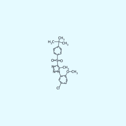 COc1ccc(Cl)cc1-n1nnc(S(=O)(=O)c2ccc(C(C)(C)C)cc2)c1C